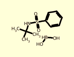 CC(C)(C)NS(=O)(=O)c1ccccc1.OBO